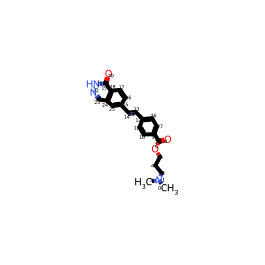 CN(C)CCCOC(=O)c1ccc(/C=C/c2ccc3c(=O)[nH]ncc3c2)cc1